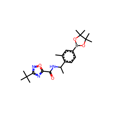 Cc1cc(B2OC(C)(C)C(C)(C)O2)ccc1C(C)NC(=O)c1nc(C(C)(C)C)no1